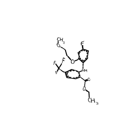 CCOC(=O)c1ccc(C(F)(F)F)cc1Nc1ccc(F)cc1OCCOC